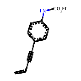 C=CC#Cc1ccc(NC(=O)OCC)cc1